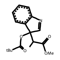 COC(=O)C(C)C1(OC(=O)C(C)(C)C)C=Nc2ccccc21